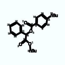 CCCCOC(=O)C(OC(=O)c1ccc(CCCC)cc1)c1ccccc1